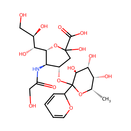 C[C@@H]1OC(O[C@H]2CC(O)(C(=O)O)O[C@@H]([C@H](O)[C@H](O)CO)[C@@H]2NC(=O)CO)(C2C=CC=CO2)[C@@H](O)[C@H](O)[C@@H]1O